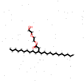 CCCCCCCCCCCCC(CCCCCCCCCC)CC(=O)OCCOCCO